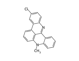 CN1c2ccccc2-c2nc3ccc(Cl)cc3c3cccc1c23